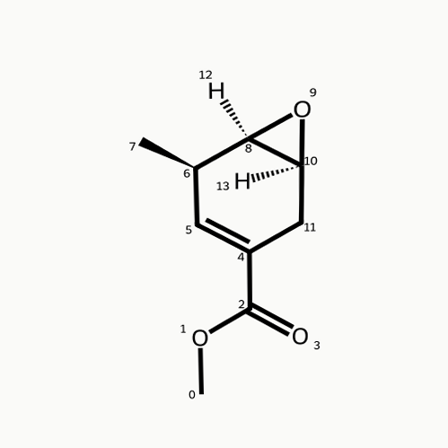 COC(=O)C1=C[C@@H](C)[C@H]2O[C@H]2C1